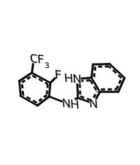 Fc1c(Nc2nc3ccccc3[nH]2)cccc1C(F)(F)F